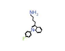 NCCCCC1=CN(c2ccc(F)cc2)C2C=CC=CC12